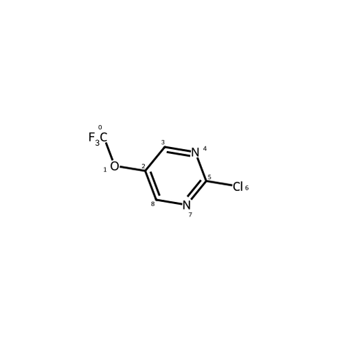 FC(F)(F)Oc1cnc(Cl)nc1